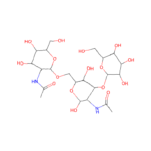 CC(=O)NC1C(OCC2OC(O)C(NC(C)=O)C(OC3OC(CO)C(O)C(O)C3O)C2O)OC(CO)C(O)C1O